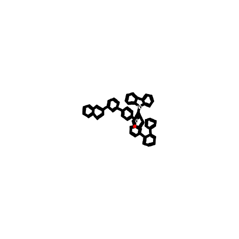 C1=CC2C(n3c4ccccc4c4ccccc43)C2(N(c2ccc(-c3cccc(-c4ccc5ccccc5c4)c3)cc2)c2cccc(-c3ccccc3-c3ccccc3)c2)C=C1